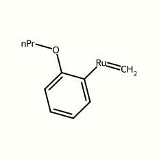 [CH2]=[Ru][c]1ccccc1OCCC